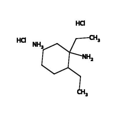 CCC1CCCCC1(N)CC.Cl.Cl.N